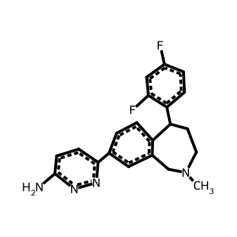 CN1CCC(c2ccc(F)cc2F)c2ccc(-c3ccc(N)nn3)cc2C1